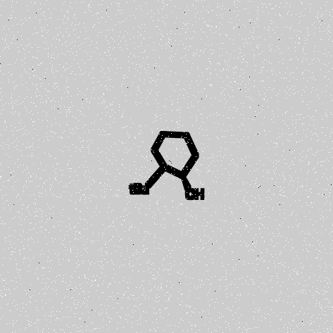 CC(C)(C)C1CCCC[C@H]1O